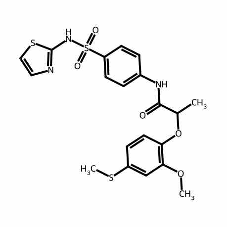 COc1cc(SC)ccc1OC(C)C(=O)Nc1ccc(S(=O)(=O)Nc2nccs2)cc1